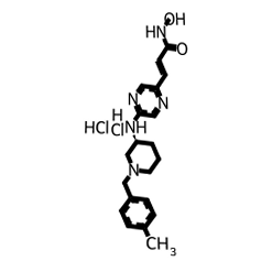 Cc1ccc(CN2CCC[C@@H](Nc3cnc(/C=C/C(=O)NO)cn3)C2)cc1.Cl.Cl